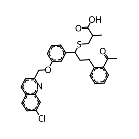 CC(=O)c1ccccc1CCC(SCC(C)C(=O)O)c1cccc(OCc2ccc3ccc(Cl)cc3n2)c1